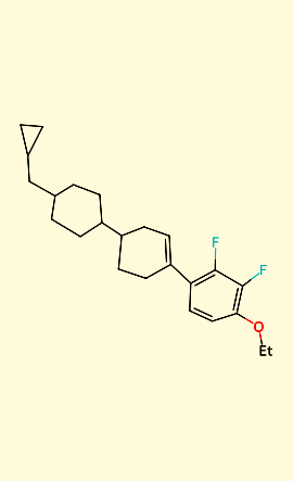 CCOc1ccc(C2=CCC(C3CCC(CC4CC4)CC3)CC2)c(F)c1F